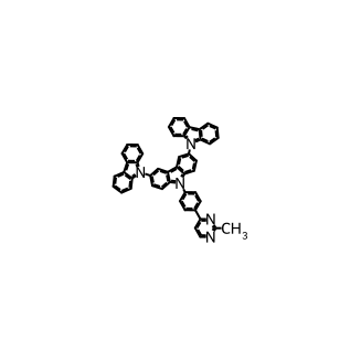 Cc1nccc(-c2ccc(-n3c4ccc(-n5c6ccccc6c6ccccc65)cc4c4cc(-n5c6ccccc6c6ccccc65)ccc43)cc2)n1